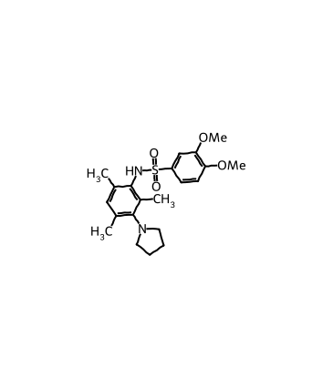 COc1ccc(S(=O)(=O)Nc2c(C)cc(C)c(N3CCCC3)c2C)cc1OC